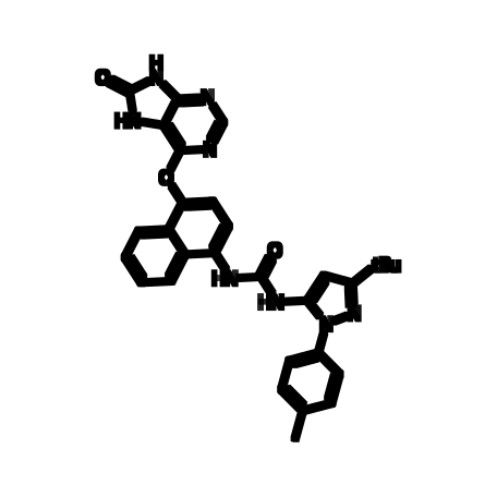 Cc1ccc(-n2nc(C(C)(C)C)cc2NC(=O)Nc2ccc(Oc3ncnc4[nH]c(=O)[nH]c34)c3ccccc23)cc1